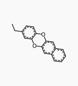 CCc1ccc2c(c1)Oc1cc3ccccc3cc1O2